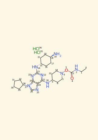 CCNC(=O)ON1CCC(Nc2nc(N[C@H]3CC[C@H](N)CC3)nc3c2ncn3C2CCCC2)CC1.Cl.Cl